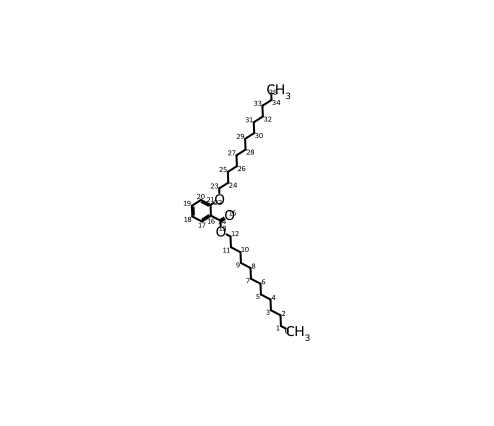 CCCCCCCCCCCCCOC(=O)c1ccccc1OCCCCCCCCCCCCC